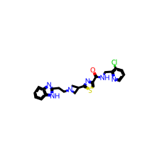 O=C(NCc1ncccc1Cl)c1csc(C2CN(CCc3nc4ccccc4[nH]3)C2)n1